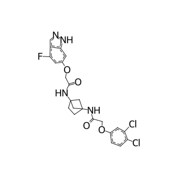 O=C(COc1ccc(Cl)c(Cl)c1)NC12CCC(NC(=O)COc3cc(F)c4cn[nH]c4c3)(C1)C2